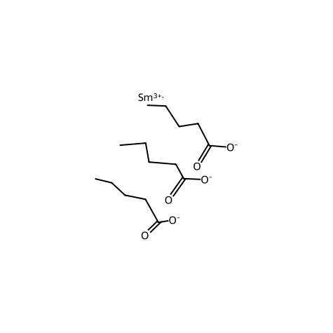 CCCCC(=O)[O-].CCCCC(=O)[O-].CCCCC(=O)[O-].[Sm+3]